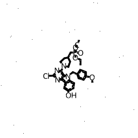 CCOP(=O)(CC1CCN(c2nc(Cl)nc3c4cc(O)ccc4n(Cc4ccc(OC)cc4)c23)CC1)OCC